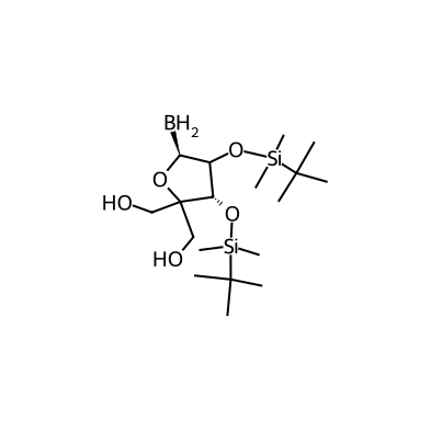 B[C@@H]1OC(CO)(CO)[C@@H](O[Si](C)(C)C(C)(C)C)C1O[Si](C)(C)C(C)(C)C